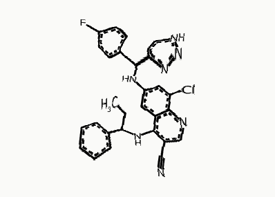 CCC(Nc1c(C#N)cnc2c(Cl)cc(NC(c3ccc(F)cc3)c3c[nH]nn3)cc12)c1ccccc1